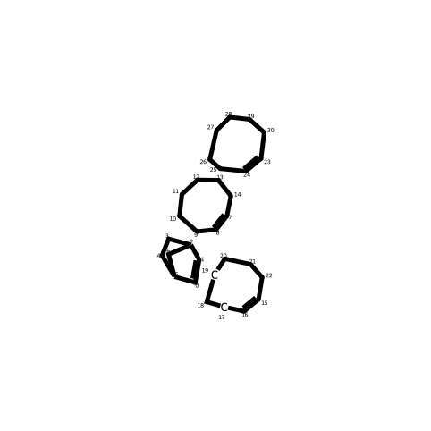 C1=CC2CCC1C2.C1=CCCCCCC1.C1=CCCCCCC1.C1=CCCCCCC1